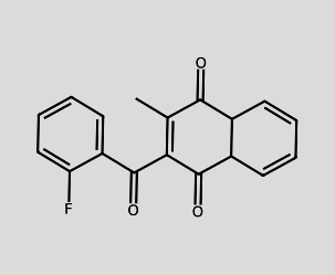 CC1=C(C(=O)c2ccccc2F)C(=O)C2C=CC=CC2C1=O